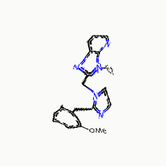 CCn1c(Cn2ccnc2-c2ccccc2OC)nc2cccnc21